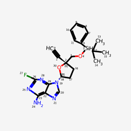 C#C[C@@]1(CO[SiH](c2ccccc2)C(C)(C)C)CC[C@H](n2cnc3c(N)nc(F)nc32)O1